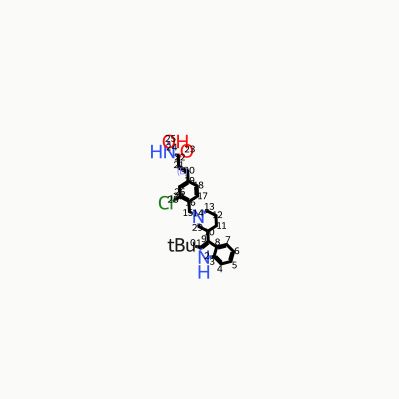 CC(C)(C)c1[nH]c2ccccc2c1C1CCCN(Cc2ccc(/C=C/C(=O)NO)cc2Cl)C1